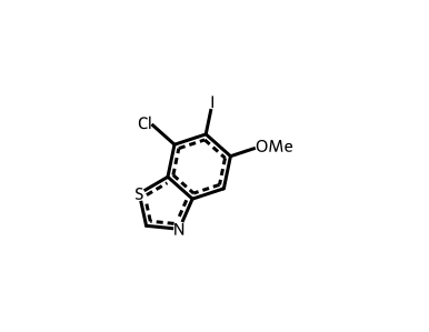 COc1cc2ncsc2c(Cl)c1I